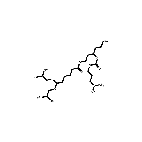 CCCCCCCCCCCCC(CCOC(=O)CCCCC(OCC(CCC)CCC)OCC(CCC)CCC)OC(=O)OCCCN(C)C